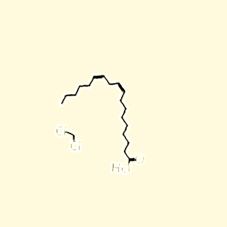 CCCCC/C=C\C/C=C\CCCCCCCC(=O)O.ClCCl